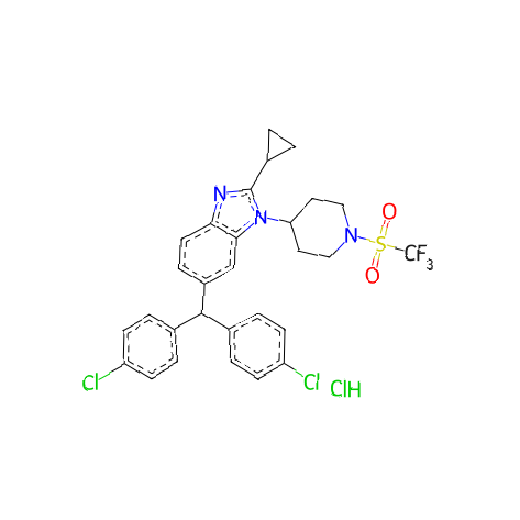 Cl.O=S(=O)(N1CCC(n2c(C3CC3)nc3ccc(C(c4ccc(Cl)cc4)c4ccc(Cl)cc4)cc32)CC1)C(F)(F)F